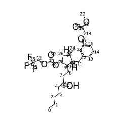 CCCCC[C@@H](O)CC[C@@H]1[C@H]2Cc3cccc(OCC(=O)OC)c3C[C@H]2C[C@H]1OC(=O)OCC(F)(F)F